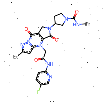 CCc1cc2n(CC(=O)Nc3ccc(F)cn3)c3c(c(=O)n2n1)CN(C1CCN(C(=O)NC(C)C)C1)C3=O